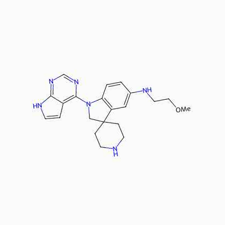 COCCNc1ccc2c(c1)C1(CCNCC1)CN2c1ncnc2[nH]ccc12